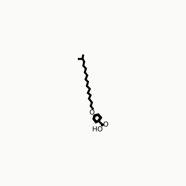 CC(C)CCCCCCCCCCCCCCCOc1ccc(C(=O)O)cc1